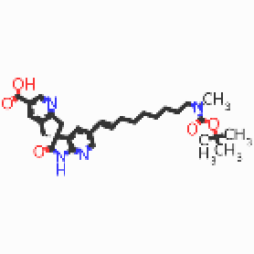 CN(CCCCCCC/C=C/c1cnc2c(c1)[C@@]1(Cc3cc(C(=O)O)cnc3C1)C(=O)N2)C(=O)OC(C)(C)C